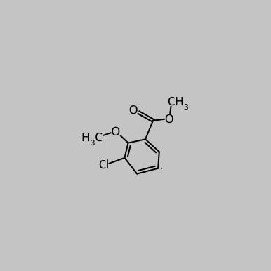 COC(=O)c1c[c]cc(Cl)c1OC